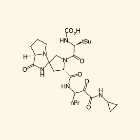 CCCC(NC(=O)[C@@H]1CC2(CN1C(=O)[C@@H](NC(=O)O)C(C)(C)C)NC(=O)[C@H]1CCCN12)C(=O)C(=O)NC1CC1